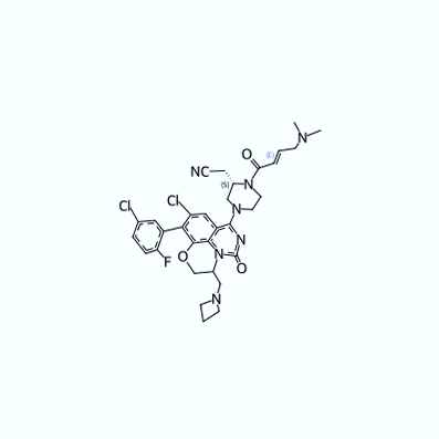 CN(C)C/C=C/C(=O)N1CCN(c2nc(=O)n3c4c(c(-c5cc(Cl)ccc5F)c(Cl)cc24)OCC3CN2CCC2)C[C@@H]1CC#N